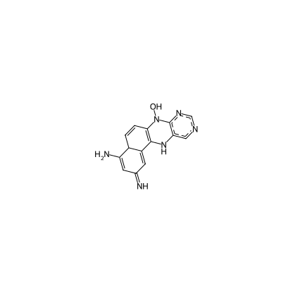 N=C1C=C(N)C2C=CC3=C(Nc4cncnc4N3O)C2=C1